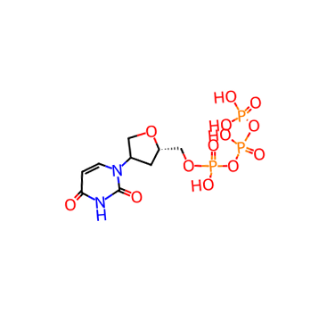 O=c1ccn(C2CO[C@H](COP(=O)(O)OP(=O)(O)OP(=O)(O)O)C2)c(=O)[nH]1